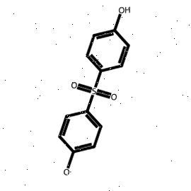 [O]c1ccc(S(=O)(=O)c2ccc(O)cc2)cc1